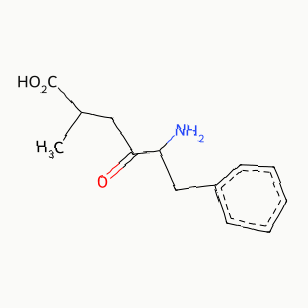 CC(CC(=O)C(N)Cc1ccccc1)C(=O)O